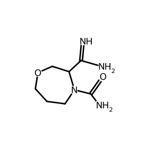 N=C(N)C1COCCCN1C(N)=O